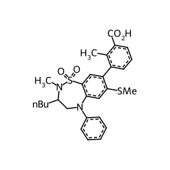 CCCCC1CN(c2ccccc2)c2cc(SC)c(-c3cccc(C(=O)O)c3C)cc2S(=O)(=O)N1C